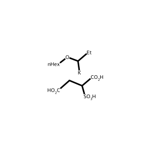 CCCCCCO[CH]([K])CC.O=C(O)CC(C(=O)O)S(=O)(=O)O